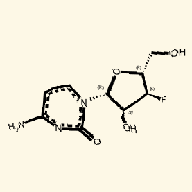 Nc1ccn([C@@H]2O[C@H](CO)[C@@H](F)[C@H]2O)c(=O)n1